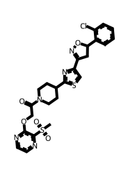 CS(=O)(=O)c1nccnc1OCC(=O)N1CCC(c2nc(C3=NOC(c4[c]cccc4Cl)C3)cs2)CC1